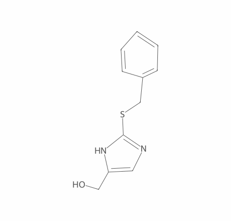 OCc1cnc(SCc2ccccc2)[nH]1